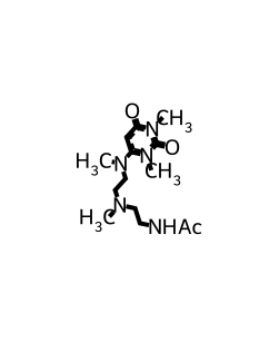 CC(=O)NCCN(C)CCN(C)c1cc(=O)n(C)c(=O)n1C